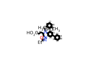 CCc1nnc(C(CCC(=O)O)N(C=O)c2ccc(-c3ccccc3)cc2)o1.Cc1cccc(C)c1